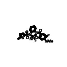 CNc1cc2c(cc1F)C(=O)N(c1ccccc1N(C(N)=O)S(=O)(=O)c1ccc(C)s1)CO2